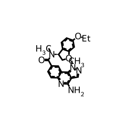 CCOc1ccc2c(c1)OC[C@H]2N(C)C(=O)c1ccc2nc(N)c3cnn(C)c3c2c1